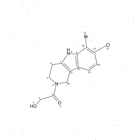 O=C(CO)N1CCc2[nH]c3c(Br)c(Cl)ccc3c2C1